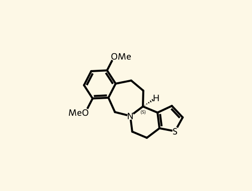 COc1ccc(OC)c2c1CC[C@H]1c3ccsc3CCN1C2